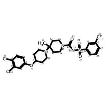 CC1(N2CCC(Oc3ccc(Cl)c(Cl)c3)CC2)CCN(C(=O)NS(=O)(=O)c2cccc(C(F)(F)F)c2)CC1